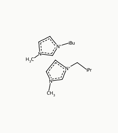 CC(C)C[n+]1ccn(C)c1.CCC(C)[n+]1ccn(C)c1